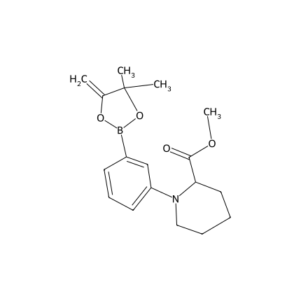 C=C1OB(c2cccc(N3CCCCC3C(=O)OC)c2)OC1(C)C